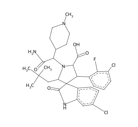 CN1CCC(C(C(N)=O)N2C(C(=O)O)C(c3cccc(Cl)c3F)C3(C(=O)Nc4cc(Cl)ccc43)C2CC(C)(C)C)CC1